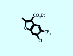 CCOC(=O)c1c(C)oc2cc(Cl)c(C(F)(F)F)cc12